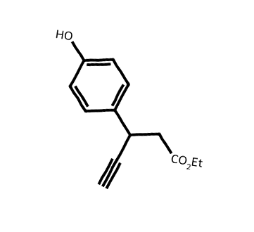 C#CC(CC(=O)OCC)c1ccc(O)cc1